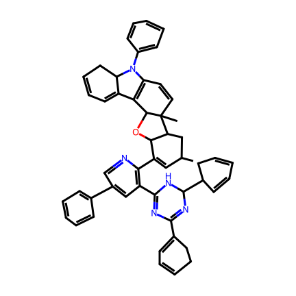 CC1C=C(c2ncc(-c3ccccc3)cc2C2=NC(C3=CC=CCC3)=NC(C3C=CC=CC3)N2)C2OC3C4=C(C=CC3(C)C2C1)N(c1ccccc1)C1CC=CC=C41